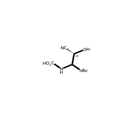 CCCCC(NC(=O)O)[C@@H](O)C#N